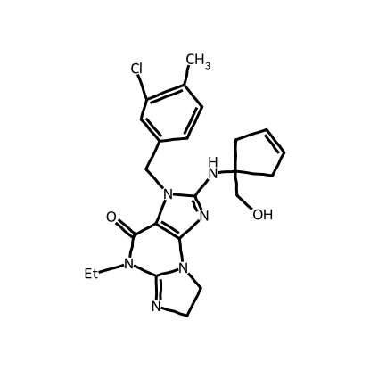 CCN1C(=O)c2c(nc(NC3(CO)CC=CC3)n2Cc2ccc(C)c(Cl)c2)N2CCN=C12